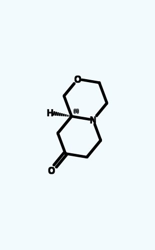 O=C1CCN2CCOC[C@@H]2C1